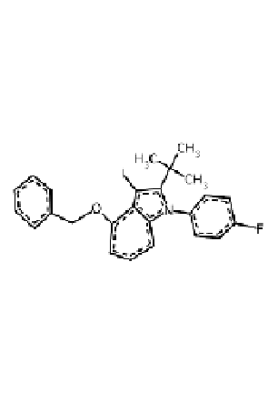 CC(C)(C)c1c(I)c2c(OCc3ccccc3)cccc2n1-c1ccc(F)cc1